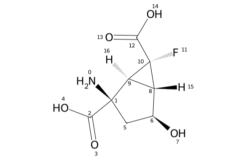 N[C@]1(C(=O)O)C[C@H](O)[C@@H]2[C@@H]1[C@@]2(F)C(=O)O